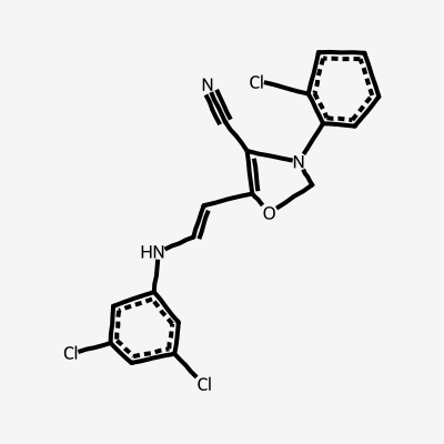 N#CC1=C(C=CNc2cc(Cl)cc(Cl)c2)OCN1c1ccccc1Cl